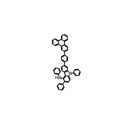 c1ccc(Nc2c(-c3ccccc3)ccc3c2c2ccc(-c4ccc(-c5ccc6c7ccccc7c7ccccc7c6c5)cc4)cc2n3-c2ccccc2)cc1